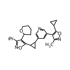 Cc1noc(C2CC2)c1-c1cncc(C2CC2c2onc(C(C)C)c2C2CCCCO2)c1